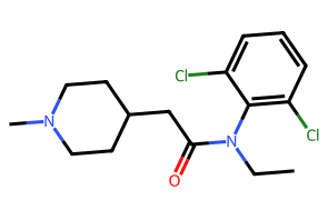 CCN(C(=O)CC1CCN(C)CC1)c1c(Cl)cccc1Cl